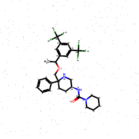 CC(OCC1(c2ccccc2)CC[C@H](NC(=O)N2CCCCC2)CN1)c1cc(C(F)(F)F)cc(C(F)(F)F)c1